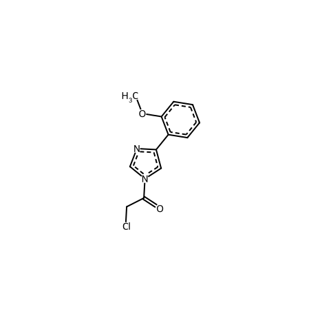 COc1ccccc1-c1cn(C(=O)CCl)cn1